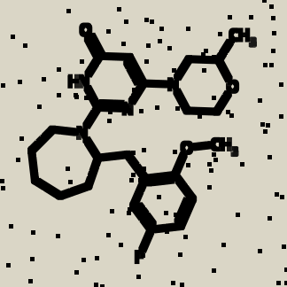 COc1ccc(F)cc1CC1CCCCCN1c1nc(N2CCOC(C)C2)cc(=O)[nH]1